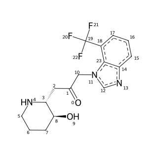 O=C(C[C@H]1NCCC[C@@H]1O)Cn1cnc2cccc(C(F)(F)F)c21